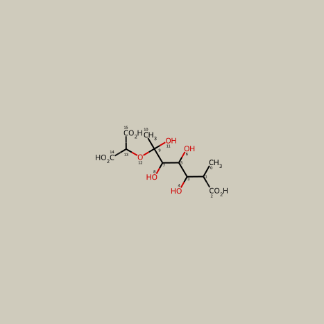 CC(C(=O)O)C(O)C(O)C(O)C(C)(O)OC(C(=O)O)C(=O)O